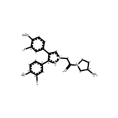 COc1ccc(-c2cn(CC(=O)N3CCC(N)C3)nc2-c2ccc(C#N)c(F)c2)cc1F